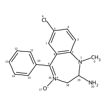 CN1c2ccc(Cl)cc2C(c2ccccc2)=[N+]([O-])CC1N